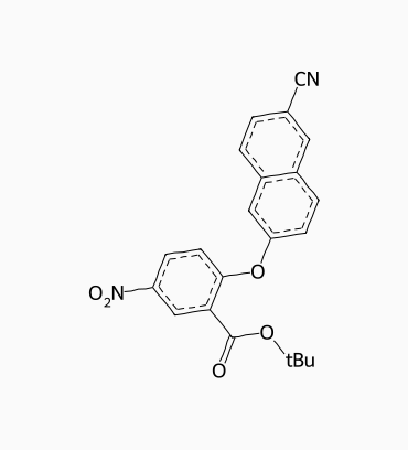 CC(C)(C)OC(=O)c1cc([N+](=O)[O-])ccc1Oc1ccc2cc(C#N)ccc2c1